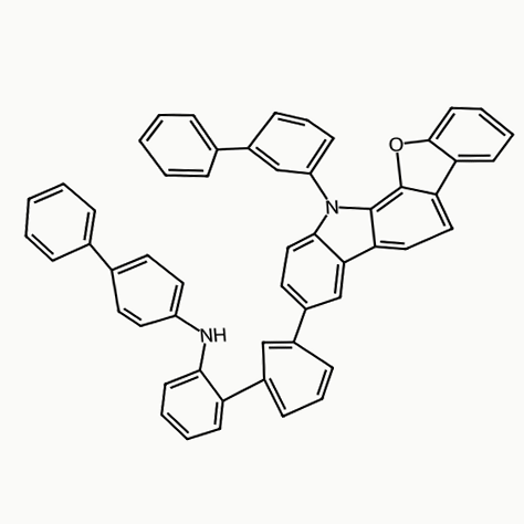 c1ccc(-c2ccc(Nc3ccccc3-c3cccc(-c4ccc5c(c4)c4ccc6c7ccccc7oc6c4n5-c4cccc(-c5ccccc5)c4)c3)cc2)cc1